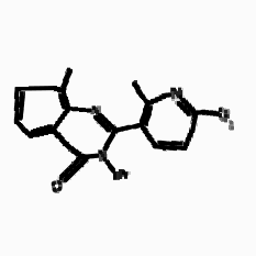 CCCn1c(-c2ccc(C(F)(F)F)nc2C)nc2c(C)cccc2c1=O